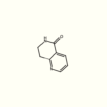 O=C1NCCc2ncccc21